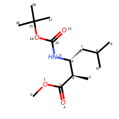 COC(=O)[C@H](C)[C@@H](CC(C)C)NC(=O)OC(C)(C)C